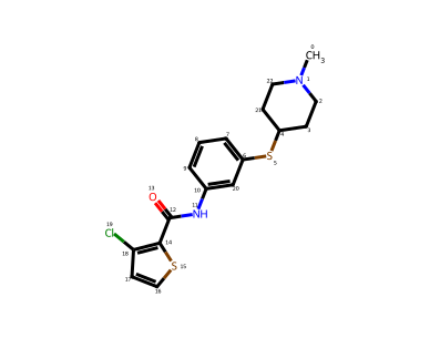 CN1CCC(Sc2cccc(NC(=O)c3sccc3Cl)c2)CC1